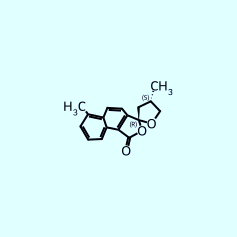 Cc1cccc2c3c(ccc12)[C@@]1(C[C@H](C)CO1)OC3=O